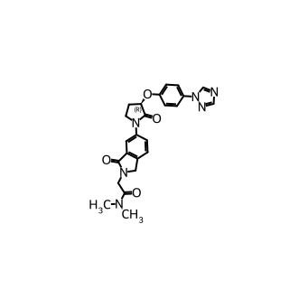 CN(C)C(=O)CN1Cc2ccc(N3CC[C@@H](Oc4ccc(-n5cncn5)cc4)C3=O)cc2C1=O